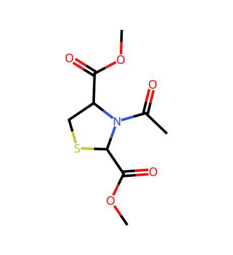 COC(=O)C1CSC(C(=O)OC)N1C(C)=O